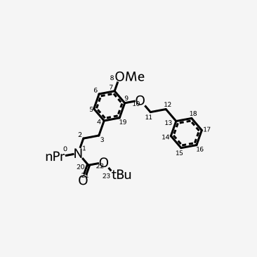 CCCN(CCc1ccc(OC)c(OCCc2ccccc2)c1)C(=O)OC(C)(C)C